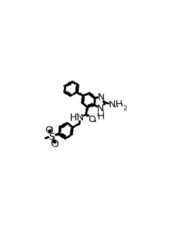 CS(=O)(=O)c1ccc(CNC(=O)c2cc(-c3ccccc3)cc3nc(N)[nH]c23)cc1